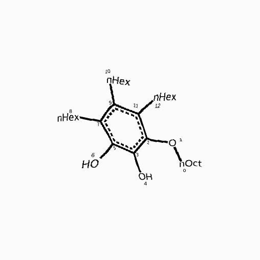 CCCCCCCCOc1c(O)c(O)c(CCCCCC)c(CCCCCC)c1CCCCCC